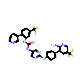 Nc1ncc(C(F)(F)F)cc1-c1ccc(Oc2ncc(NC(=O)Nc3cc(C(F)(F)F)ccc3-c3cccnc3)cn2)cc1